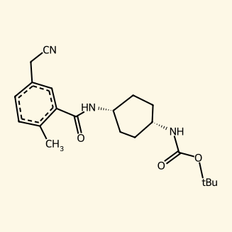 Cc1ccc(CC#N)cc1C(=O)N[C@H]1CC[C@@H](NC(=O)OC(C)(C)C)CC1